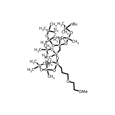 CCCC[Si](C)(C)O[Si](C)(C)O[Si](C)(C[Si](C)(O[Si](C)(C)C)O[Si](C)(CCCOCCOC)O[Si](C)(C)O[Si](C)(C)C)O[Si](C)(C)O[Si](C)(C)C